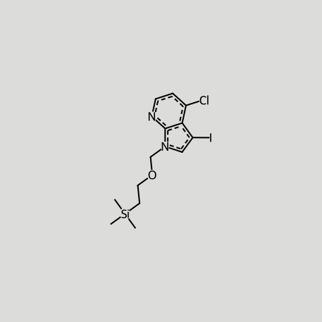 C[Si](C)(C)CCOCn1cc(I)c2c(Cl)ccnc21